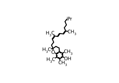 CC(C=CC=C(C)CCCC(C)C)=CCCC1(C)CCc2c(C)c(O)c(C)c(C)c2O1